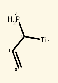 C=C[CH](P)[Ti]